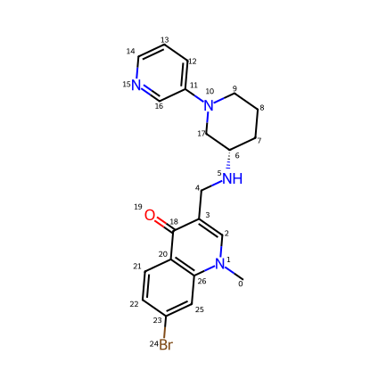 Cn1cc(CN[C@H]2CCCN(c3cccnc3)C2)c(=O)c2ccc(Br)cc21